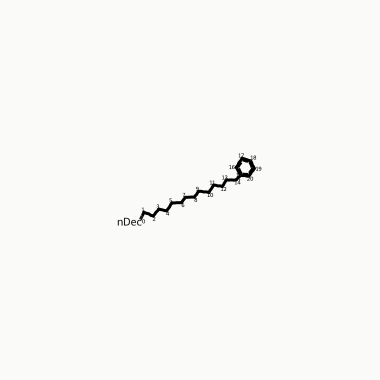 CCCCCCCCCCCCCCCCCCCCCCC[CH]c1ccccc1